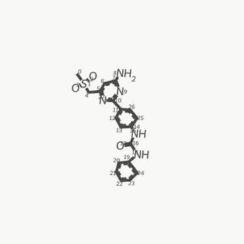 CS(=O)(=O)Cc1cc(N)nc(-c2ccc(NC(=O)Nc3ccccc3)cc2)n1